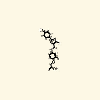 C=C(O)COc1ccc(SCc2sc(-c3ccc(CC)cc3)nc2C)cc1C